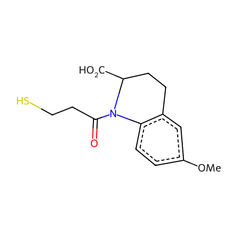 COc1ccc2c(c1)CCC(C(=O)O)N2C(=O)CCS